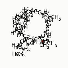 C=C1C[C@@H]2CC[C@]34C[C@H]5O[C@H]6[C@@H](O3)[C@H]3O[C@@H](CC[C@@H]3O[C@H]6[C@@H]5O4)CC(=O)C[C@@H]3[C@@H](OC)[C@@H](C[C@H](O)CO)O[C@H]3C[C@H]3O[C@@H](CC[C@@H]1O2)C[C@@H](C)C3=C